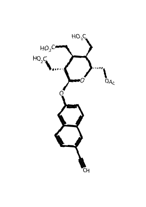 C#Cc1ccc2cc(O[C@@H]3O[C@@H](COC(C)=O)[C@H](CC(=O)O)[C@H](CC(=O)O)[C@H]3CC(=O)O)ccc2c1